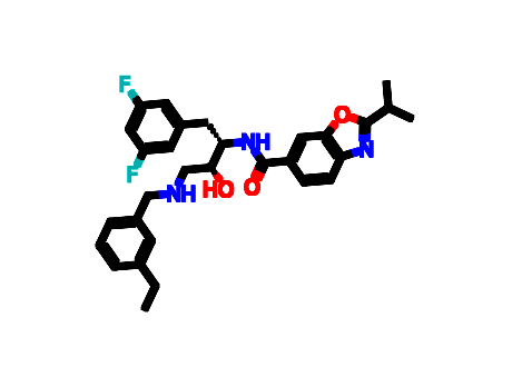 CCc1cccc(CNC[C@H](O)[C@H](Cc2cc(F)cc(F)c2)NC(=O)c2ccc3nc(C(C)C)oc3c2)c1